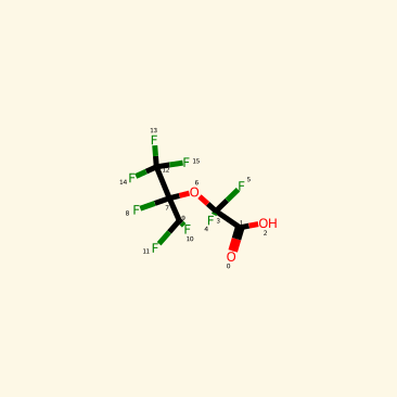 O=C(O)C(F)(F)OC(F)(C(F)F)C(F)(F)F